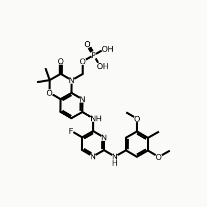 COc1cc(Nc2ncc(F)c(Nc3ccc4c(n3)N(COP(=O)(O)O)C(=O)C(C)(C)O4)n2)cc(OC)c1C